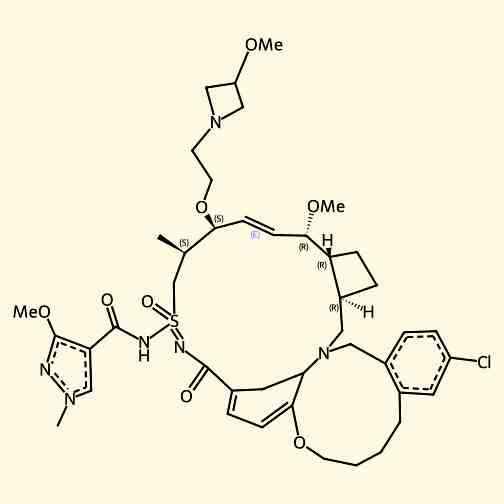 COc1nn(C)cc1C(=O)NS1(=O)=NC(=O)C2=CC=C3OCCCCc4cc(Cl)ccc4CN(C[C@@H]4CC[C@H]4[C@@H](OC)/C=C/[C@H](OCCN4CC(OC)C4)[C@H](C)C1)C3C2